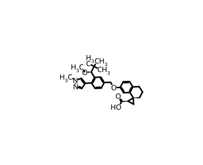 CO[C@H](c1cc(COc2ccc3c(c2)[C@]2(CCC3)C[C@H]2C(=O)O)ccc1-c1cnn(C)c1)C(C)(C)C